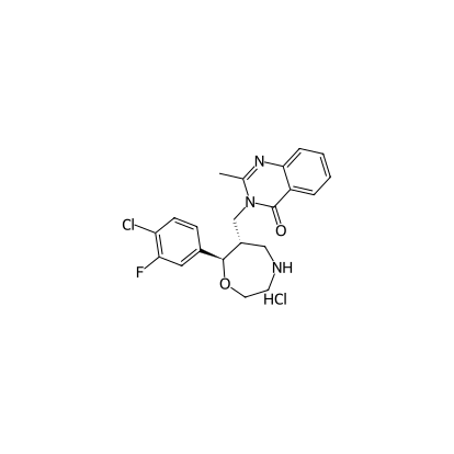 Cc1nc2ccccc2c(=O)n1C[C@@H]1CNCCO[C@H]1c1ccc(Cl)c(F)c1.Cl